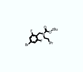 CC(C)CCN(Cc1c(F)cc(Br)cc1F)C(=O)OC(C)(C)C